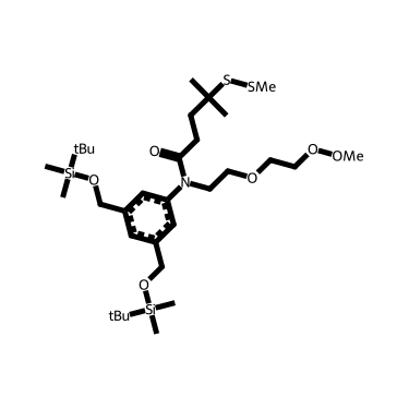 COOCCOCCN(C(=O)CCC(C)(C)SSC)c1cc(CO[Si](C)(C)C(C)(C)C)cc(CO[Si](C)(C)C(C)(C)C)c1